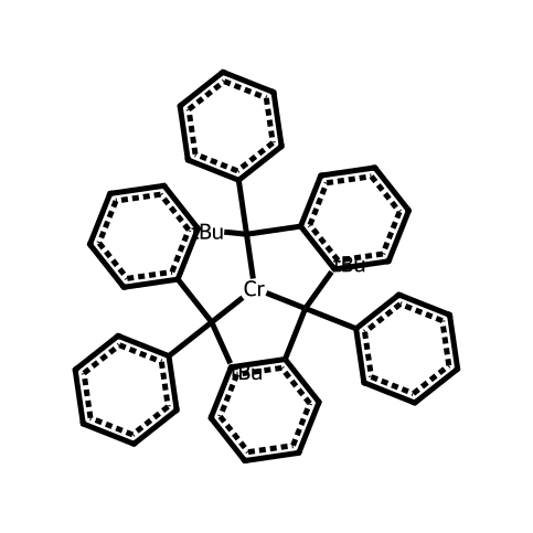 CC(C)(C)[C](c1ccccc1)(c1ccccc1)[Cr]([C](c1ccccc1)(c1ccccc1)C(C)(C)C)[C](c1ccccc1)(c1ccccc1)C(C)(C)C